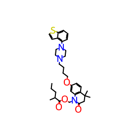 CCCC(C)C(=O)OCN1C(=O)CC(C)(C)c2ccc(OCCCCN3CCN(c4cccc5sccc45)CC3)cc21